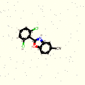 N#Cc1ccc2oc(-c3c(Cl)cccc3Cl)nc2c1